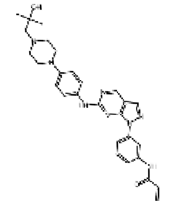 C=CC(=O)Nc1cccc(-n2ncc3cnc(Nc4ccc(N5CCN(CC(C)(C)O)CC5)cc4)nc32)c1